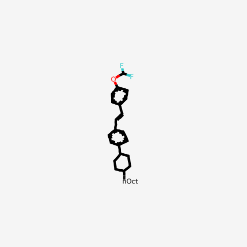 CCCCCCCCC1CCC(c2ccc(C=Cc3ccc(OC(F)F)cc3)cc2)CC1